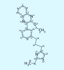 CCOc1nc2ccccc2nc1-c1cccc(CCCc2csc(CC)n2)c1